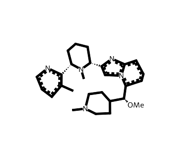 CO[C@@H](c1cccc2nc([C@H]3CCC[C@@H](c4ncccc4C)N3C)cn12)C1CCN(C)CC1